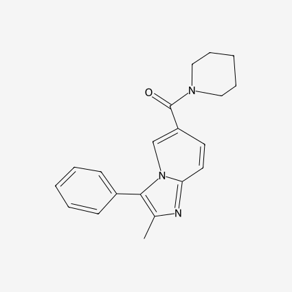 Cc1nc2ccc(C(=O)N3CCCCC3)cn2c1-c1ccccc1